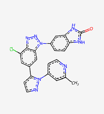 Cc1cc(-n2nccc2-c2cc(Cl)c3nnn(-c4ccc5[nH]c(=O)[nH]c5c4)c3c2)ccn1